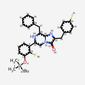 CC(C)(C)[Si](C)(C)Oc1cccc(-c2cn3c(=O)c(Cc4ccc(F)cc4)nc-3c(Cc3ccccc3)[nH]2)c1F